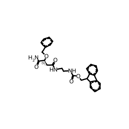 NC(=O)[C@H]([CH]C(=O)NCCNC(=O)OCC1c2ccccc2-c2ccccc21)OCc1ccccc1